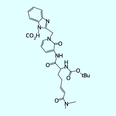 CN(C)C(=O)/C=C/CCC(NC(=O)OC(C)(C)C)C(=O)Nc1cccn(Cc2nc3ccccc3n2C(=O)O)c1=O